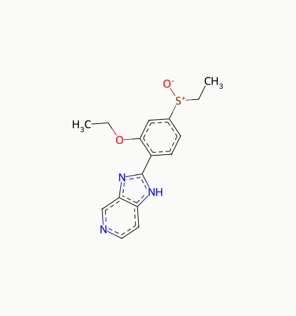 CCOc1cc([S+]([O-])CC)ccc1-c1nc2cnccc2[nH]1